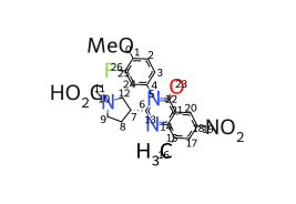 COc1ccc(-n2c([C@@H]3CCN(C(=O)O)C3)nc3c(C)cc([N+](=O)[O-])cc3c2=O)cc1F